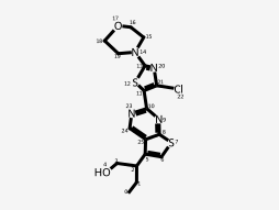 CCC(CO)c1csc2nc(-c3sc(N4CCOCC4)nc3Cl)ncc12